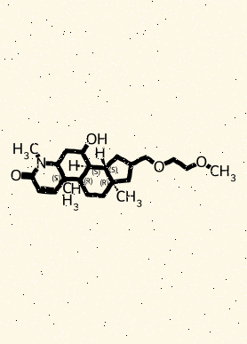 COCCOCC1C[C@H]2[C@@H]3C(O)CC4N(C)C(=O)C=C[C@]4(C)[C@@H]3CC[C@]2(C)C1